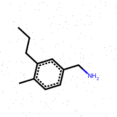 CCCc1cc(CN)ccc1C